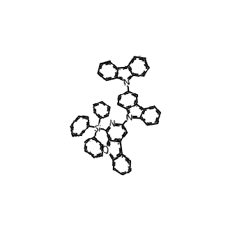 c1ccc([Si](c2ccccc2)(c2ccccc2)c2nc(-n3c4ccccc4c4cc(-n5c6ccccc6c6ccccc65)ccc43)cc3c2oc2ccccc23)cc1